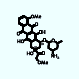 COCC(=O)[C@]1(O)Cc2c(O)c3c(c(O)c2[C@@H](OC2CC(N)CC(C)O2)C1)C(=O)c1c(OC)cccc1C3=O